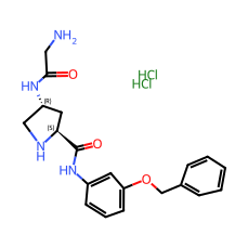 Cl.Cl.NCC(=O)N[C@H]1CN[C@H](C(=O)Nc2cccc(OCc3ccccc3)c2)C1